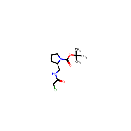 CC(C)(C)OC(=O)N1CCC[C@@H]1CNC(=O)CCl